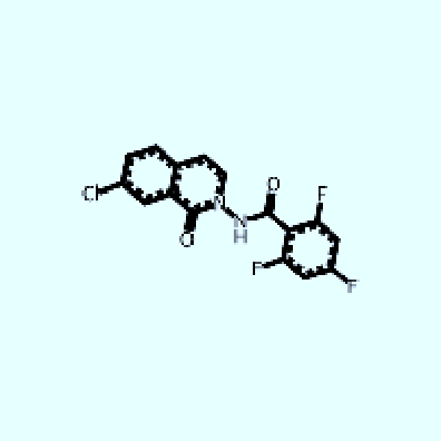 O=C(Nn1ccc2ccc(Cl)cc2c1=O)c1c(F)cc(F)cc1F